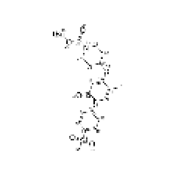 Cc1cn(-c2ccc(S(C)(=O)=O)cc2)c(=O)cc1OC1CCN(C(=O)OC(C)(C)C)CC1